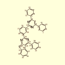 c1ccc(-c2cc(-c3ccccc3)nc(-c3cccc(-c4nc(-c5ccccc5)c5c(n4)sc4ccccc45)c3)n2)cc1